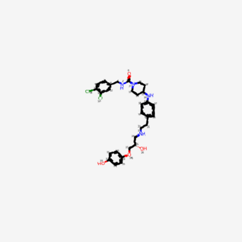 O=C(NCc1ccc(Cl)c(Cl)c1)N1CCC(Nc2ccc(CCNC[C@H](O)COc3ccc(O)cc3)cc2)CC1